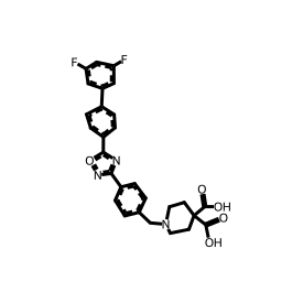 O=C(O)C1(C(=O)O)CCN(Cc2ccc(-c3noc(-c4ccc(-c5cc(F)cc(F)c5)cc4)n3)cc2)CC1